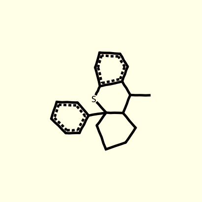 CC1c2ccccc2SC2(c3ccccc3)CCCCC12